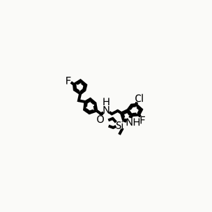 CC[Si](CC)(CC)c1[nH]c2c(F)cc(Cl)cc2c1CCNC(=O)c1ccc(Cc2cccc(F)c2)cc1